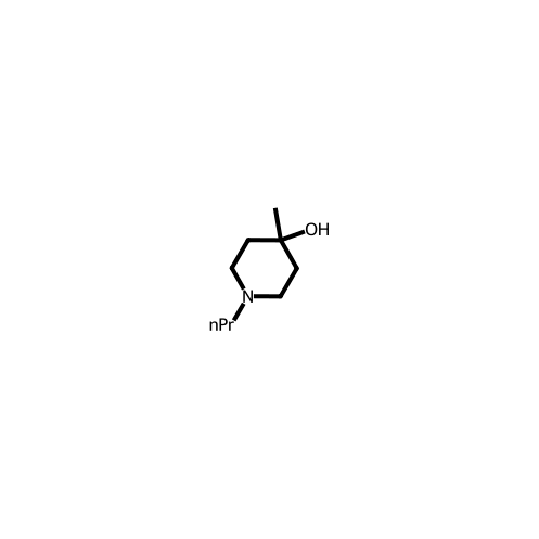 CCCN1CCC(C)(O)CC1